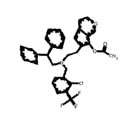 CC(=O)Oc1c(CCN(Cc2cccc(C(F)(F)F)c2Cl)CC(c2ccccc2)c2ccccc2)cc2ccocc1-2